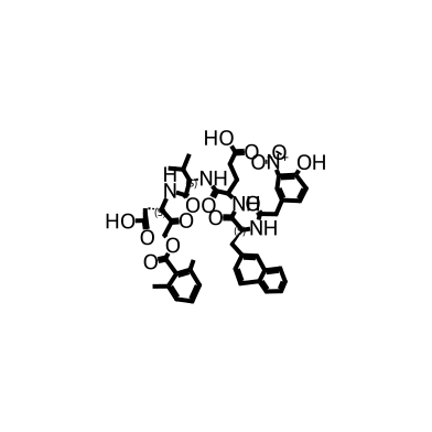 Cc1cccc(C)c1C(=O)OCC(=O)[C@H](CC(=O)O)NC(=O)[C@@H](NC(=O)C(CCC(=O)O)NC(=O)[C@H](Cc1ccc2ccccc2c1)NC(=O)Cc1ccc(O)c([N+](=O)[O-])c1)C(C)C